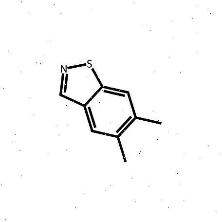 Cc1cc2cnsc2cc1C